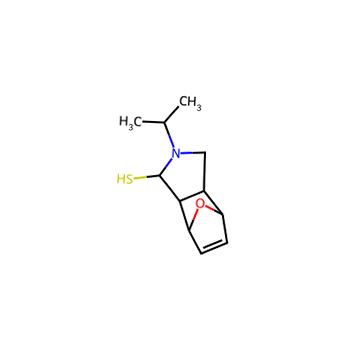 CC(C)N1CC2C3C=CC(O3)C2C1S